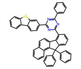 c1ccc(-c2nc(-c3ccc4c(c3)sc3ccccc34)nc(-c3cccc4c3-c3ccc5ccccc5c3C4(c3ccccc3)c3ccccc3)n2)cc1